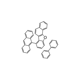 c1ccc(-c2ccccc2)cc1.c1ccc2c(-c3cccc4oc5c6ccccc6ccc5c34)c3ccccc3cc2c1